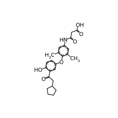 Cc1cc(NC(=O)CC(=O)O)cc(C)c1Oc1ccc(O)c(C(=O)CC2CCCC2)c1